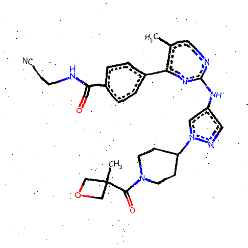 Cc1cnc(Nc2cnn(C3CCN(C(=O)C4(C)COC4)CC3)c2)nc1-c1ccc(C(=O)NCC#N)cc1